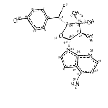 C[C@@]1(O)[C@@H](C(F)c2ccc(Cl)cc2)O[C@@H](n2ccc3c(N)ncnc32)[C@@H]1O